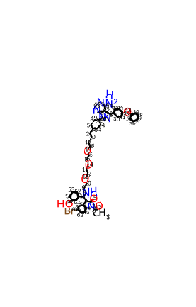 CC(=O)N1C(=O)/C(=C(\NCCOCCOCCOCCCCC2CCC(n3nc(-c4ccc(Oc5ccccc5)cc4)c4c(N)ncnc43)CC2)c2cccc(O)c2)c2cc(Br)ccc21